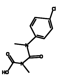 CN(C(=O)O)C(=O)N(C)c1ccc(Cl)cc1